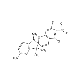 CN1c2ccc(N)cc2C(C)(C)C12C=Cc1c(cc(Cl)c([N+](=O)[O-])c1Cl)O2